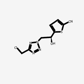 N#Cc1ccc([C@@H](O)Cn2nnc(CCl)n2)s1